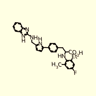 CCc1cc(F)cc(C)c1NC(Cc1ccc(-c2ccc(CNc3nc4ccccc4[nH]3)[nH]2)cc1)C(=O)O